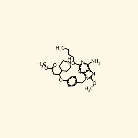 CCCCOc1nc(N)c2nc(OC)n(Cc3ccc(OC(CC(=O)OC)C4CCNCC4)cc3)c2n1